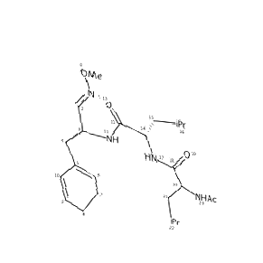 CO/N=C/C(CC1=CCCC=C1)NC(=O)[C@H](CC(C)C)NC(=O)C(CC(C)C)NC(C)=O